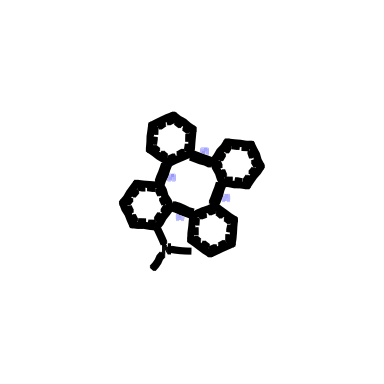 CN(C)c1cccc2/c1=c1/cccc/c1=c1\cccc\c1=c1/cccc/c1=2